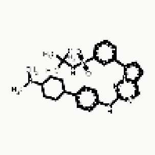 CN(C)C1CCC(c2ccc(Nc3ncc4ccc(-c5cccc(S(=O)(=O)NC(C)(C)C)c5)n4n3)cc2)CC1